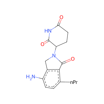 CCCc1ccc(N)c2c1C(=O)N(C1CCC(=O)NC1=O)C2